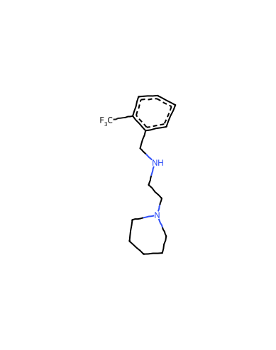 FC(F)(F)c1ccccc1CNCCN1CCCCC1